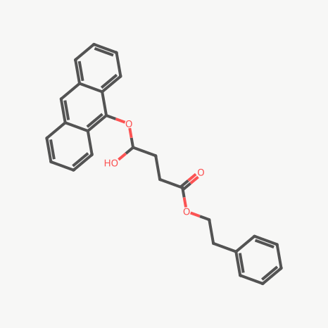 O=C(CCC(O)Oc1c2ccccc2cc2ccccc12)OCCc1ccccc1